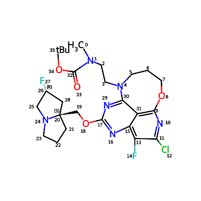 CN(CCN1CCCOc2nc(Cl)c(F)c3nc(OC[C@@]45CCCN4C[C@H](F)C5)nc1c23)C(=O)OC(C)(C)C